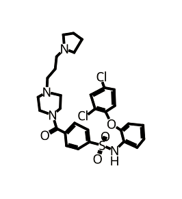 O=C(c1ccc(S(=O)(=O)Nc2ccccc2Oc2ccc(Cl)cc2Cl)cc1)N1CCN(CCCN2CCCC2)CC1